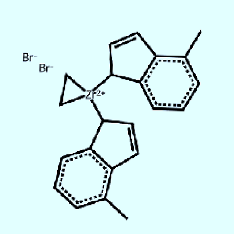 Cc1cccc2c1C=C[CH]2[Zr+2]1([CH]2C=Cc3c(C)cccc32)[CH2][CH2]1.[Br-].[Br-]